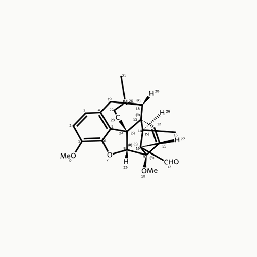 COc1ccc2c3c1O[C@H]1[C@@]4(OC)C=C[C@@]5([C@@H](C)[C@@H]4C=O)[C@@H](C2)N(C)CC[C@]315